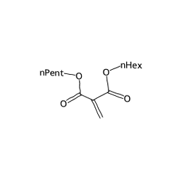 C=C(C(=O)OCCCCC)C(=O)OCCCCCC